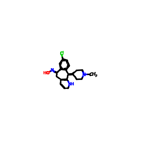 CN1CCC(=C2C3=C(C=CCN3)CC(=NO)c3cc(Cl)ccc32)CC1